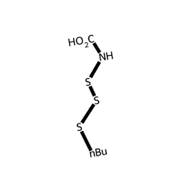 CCCCSSSNC(=O)O